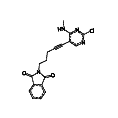 CNc1nc(Cl)ncc1C#CCCCN1C(=O)c2ccccc2C1=O